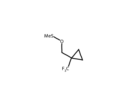 CSOCC1(C(F)(F)F)CC1